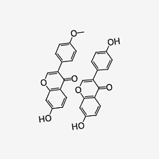 COc1ccc(-c2coc3cc(O)ccc3c2=O)cc1.O=c1c(-c2ccc(O)cc2)coc2cc(O)ccc12